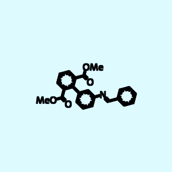 COC(=O)c1cccc(C(=O)OC)c1-c1cccc(/N=C/c2ccccc2)c1